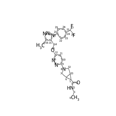 CCNC(=O)C1C2CN(c3ccc(OCc4c(C)nnn4-c4ccc(C(F)F)cc4)nn3)CC21